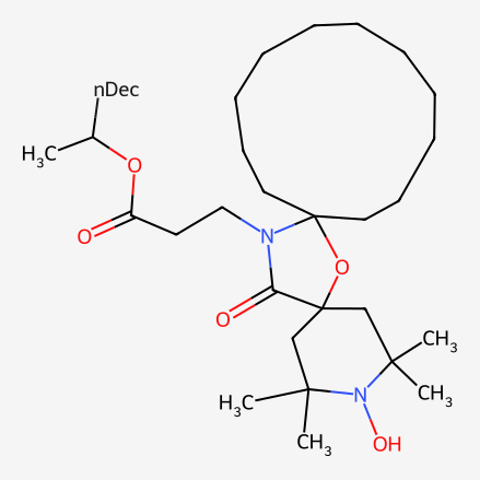 CCCCCCCCCCC(C)OC(=O)CCN1C(=O)C2(CC(C)(C)N(O)C(C)(C)C2)OC12CCCCCCCCCCC2